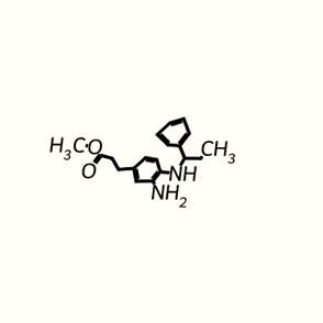 CCC(Nc1ccc(CCC(=O)OC)cc1N)c1ccccc1